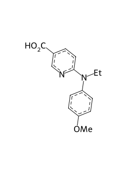 CCN(c1ccc(OC)cc1)c1ccc(C(=O)O)cn1